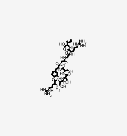 CCC(C)C(NC(=O)C(CCCNC(=N)N)NC(=O)CNC(=O)CNC(=O)C(Cc1ccccc1)NC(=O)C(CS)NC(=O)C(CO)NC(=O)C(CO)NC(=O)C(N)CCCNC(=N)N)C(=O)O